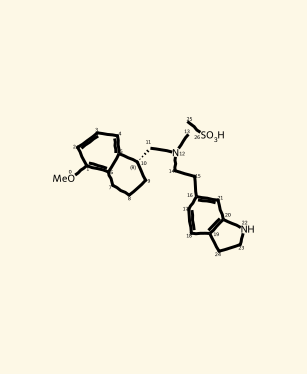 COc1cccc2c1CCC[C@H]2CN(C)CCc1ccc2c(c1)NCC2.CS(=O)(=O)O